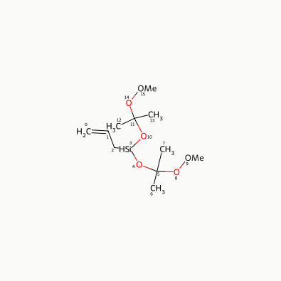 C=CC[SiH](OC(C)(C)OOC)OC(C)(C)OOC